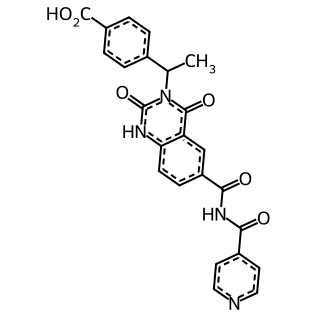 CC(c1ccc(C(=O)O)cc1)n1c(=O)[nH]c2ccc(C(=O)NC(=O)c3ccncc3)cc2c1=O